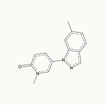 Cc1ccc2cnn(-c3ccc(=O)n(C)c3)c2c1